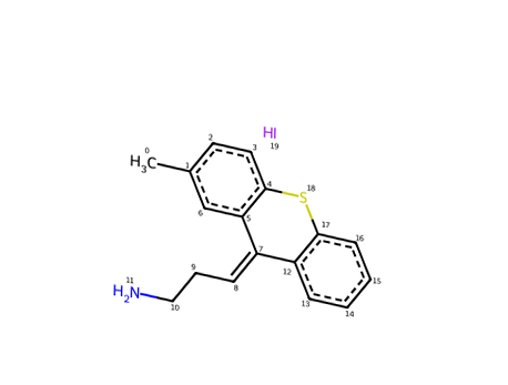 Cc1ccc2c(c1)C(=CCCN)c1ccccc1S2.I